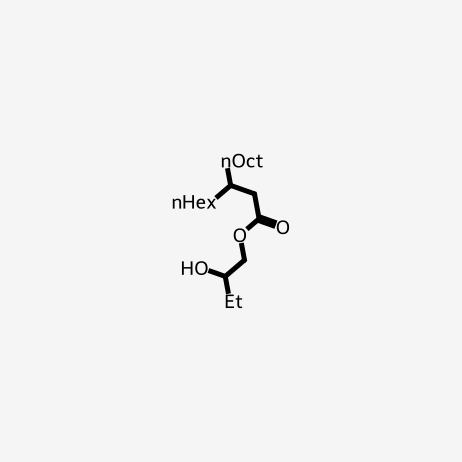 CCCCCCCCC(CCCCCC)CC(=O)OCC(O)CC